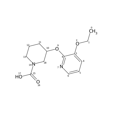 CCOc1cccnc1OC1CCCN(C(=O)O)C1